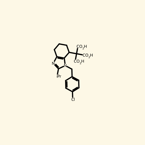 CC(C)c1nc2c(n1Cc1ccc(Cl)cc1)C(C(C(=O)O)(C(=O)O)C(=O)O)CCC2